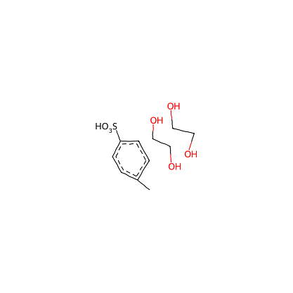 Cc1ccc(S(=O)(=O)O)cc1.OCCO.OCCO